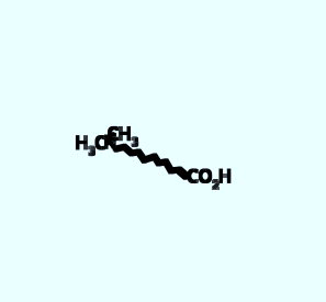 CN(C)CCCCCCCCCC=CC(=O)O